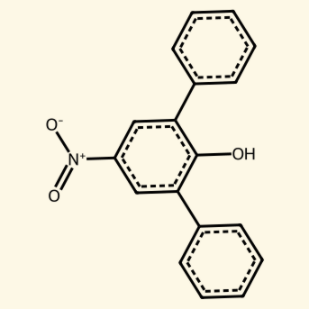 O=[N+]([O-])c1cc(-c2ccccc2)c(O)c(-c2ccccc2)c1